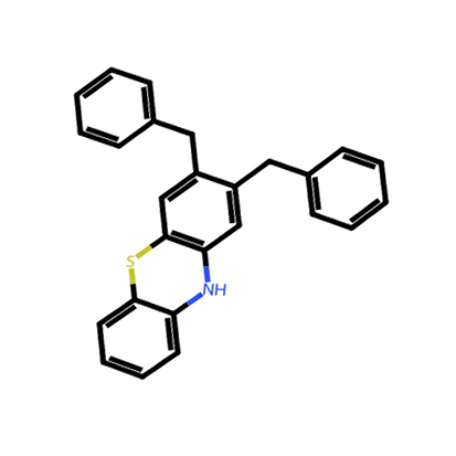 c1ccc(Cc2cc3c(cc2Cc2ccccc2)Sc2ccccc2N3)cc1